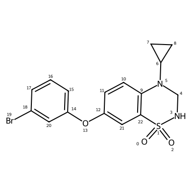 O=S1(=O)NCN(C2CC2)c2ccc(Oc3cccc(Br)c3)cc21